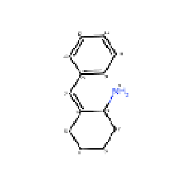 NC1CCCCC1=Cc1ccccc1